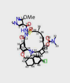 COc1nn(C)cc1C(=O)N[S@@]1(=O)=NC(=O)c2ccc3c(c2)N(C[C@@H]2CC[C@H]2[C@@H](OC(=O)N(C)C)/C=C/C[C@H](C)C1)C[C@@]1(CCCc2cc(Cl)ccc21)CO3